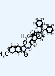 CC1C=Cc2cc3c(cc2C1)C(=O)/C(=C/c1cc2c(o1)-c1cnc(N(c4ccccc4)c4ccccc4)cc1C2(C)C)C3=O